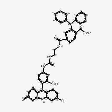 COC(=O)c1ccc(C(=O)NCCNC(=S)Nc2ccc(-c3c4ccc(=O)cc-4oc4cc(O)ccc34)c(C(=O)O)c2)cc1P(c1ccccc1)c1ccccc1